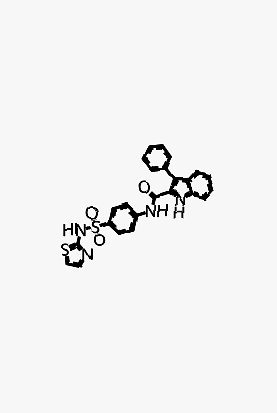 O=C(Nc1ccc(S(=O)(=O)Nc2nccs2)cc1)c1[nH]c2ccccc2c1-c1ccccc1